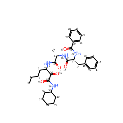 CCCCC(NC(=O)[C@H](C)NC(=O)[C@@H](Cc1ccccc1)NC(=O)c1ccccc1)C(=O)C(=O)NC1CCCCC1